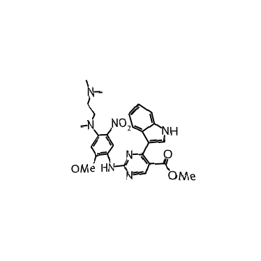 COC(=O)c1cnc(Nc2cc([N+](=O)[O-])c(N(C)CCN(C)C)cc2OC)nc1-c1c[nH]c2ccccc12